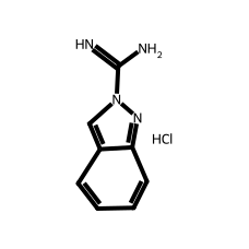 Cl.N=C(N)n1cc2ccccc2n1